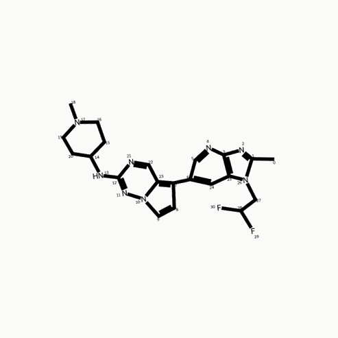 Cc1nc2ncc(-c3ccn4nc(NC5CCN(C)CC5)ncc34)cc2n1CC(F)F